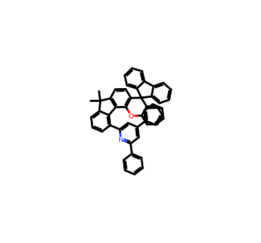 CC1(C)c2cccc(-c3cc(-c4ccccc4)cc(-c4ccccc4)n3)c2-c2c1ccc1c2Oc2ccccc2C12c1ccccc1-c1ccccc12